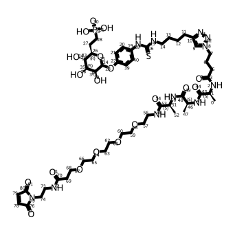 C[C@H](NC(=O)CCCn1cc(CCCCNC(=S)Nc2ccc(OC3O[C@H](CCP(=O)(O)O)[C@@H](O)[C@H](O)[C@@H]3O)cc2)nn1)C(=O)N[C@@H](C)C(=O)N[C@@H](C)C(=O)NCCOCCOCCOCCOCCC(=O)NCCN1C(=O)C=CC1=O